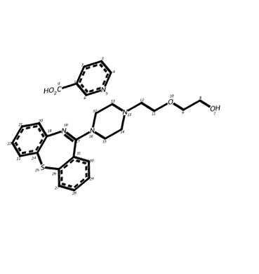 O=C(O)c1cccnc1.OCCOCCN1CCN(C2=Nc3ccccc3Sc3ccccc32)CC1